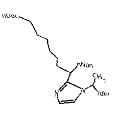 CCCCCCCCCCCCCCCCC(CCCCCCCCC)c1nccn1C(C)CCCC